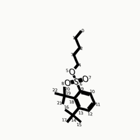 CCCCCOS(=O)(=O)c1cccc(C(C)(C)C)c1C(C)(C)C